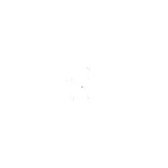 ClC(Cl)(Cl)C1CN1